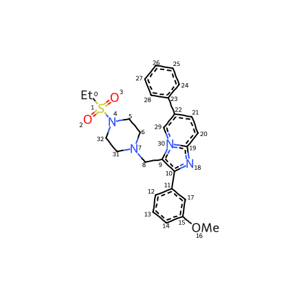 CCS(=O)(=O)N1CCN(Cc2c(-c3cccc(OC)c3)nc3ccc(-c4ccccc4)cn23)CC1